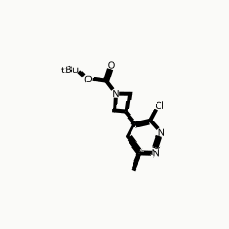 Cc1cc(C2CN(C(=O)OC(C)(C)C)C2)c(Cl)nn1